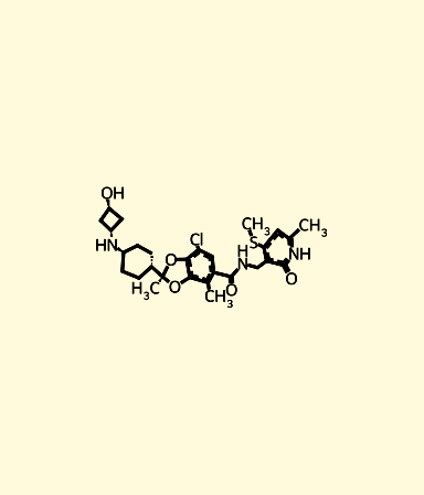 CSc1cc(C)[nH]c(=O)c1CNC(=O)c1cc(Cl)c2c(c1C)O[C@@](C)([C@H]1CC[C@H](N[C@H]3C[C@H](O)C3)CC1)O2